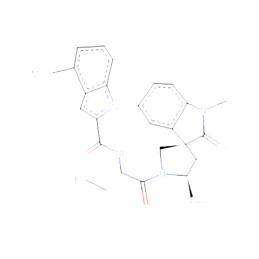 COc1cccc2[nH]c(C(=O)N[C@@H](CC(C)C)C(=O)N3C[C@]4(C[C@H]3C=O)C(=O)N(C)c3ccccc34)cc12